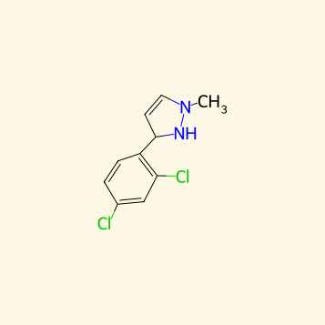 CN1C=CC(c2ccc(Cl)cc2Cl)N1